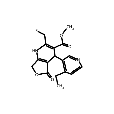 CCc1ccncc1C1C(C(=O)OC)=C(CF)NC2=C1C(=O)OC2